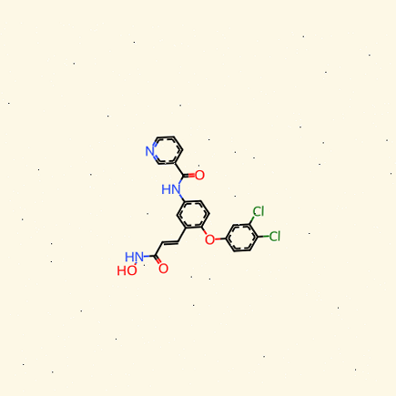 O=C(C=Cc1cc(NC(=O)c2cccnc2)ccc1Oc1ccc(Cl)c(Cl)c1)NO